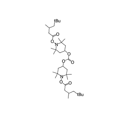 CC(CC(=O)ON1C(C)(C)CC(OC(=O)OC2CC(C)(C)N(OC(=O)CC(C)CC(C)(C)C)C(C)(C)C2)CC1(C)C)CC(C)(C)C